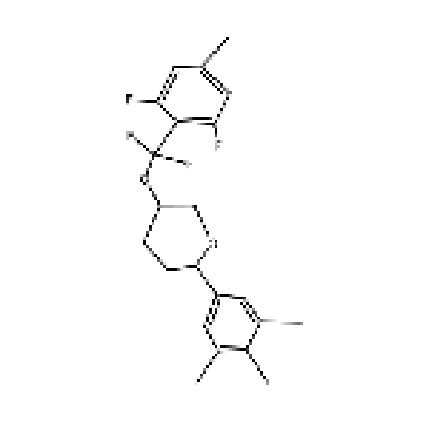 Cc1cc(F)c(C(F)(F)OC2CCC(c3cc(C)c(C)c(C)c3)OC2)c(F)c1